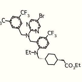 CCOC(=O)C[C@H]1CC[C@H](CN(CC)c2ccc(C(F)(F)F)cc2CN(Cc2cc(C(F)(F)F)cc(C(F)(F)F)c2)c2ncc(Br)cn2)CC1